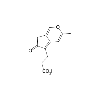 CC1=CC2=C(CCC(=O)O)C(=O)CC2=CO1